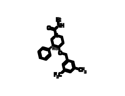 CCNC(=O)N1CC[C@H](OCc2cc(C(F)(F)F)cc(C(F)(F)F)c2)[C@H](c2ccccc2)C1